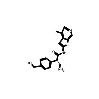 Cc1cncc2sc(NC(=O)[C@H](CN)c3ccc(CO)cc3)cc12